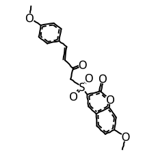 COc1ccc(/C=C/C(=O)CS(=O)(=O)c2cc3ccc(OC)cc3oc2=O)cc1